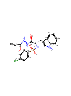 CCCCCCCCCC(=O)NNC(=O)[C@H](Cc1c[nH]c2ccccc12)NS(=O)(=O)c1ccc(Br)cc1